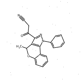 CC1Oc2ccccc2-c2c1c(C(=O)CC#N)nn2-c1ccccc1